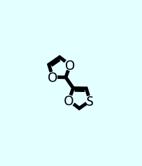 C1=COC(C2=CSCO2)O1